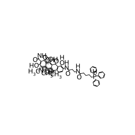 C[C@H]1c2ccc(NC(=O)CCNC(=O)CCCC[PH](c3ccccc3)(c3ccccc3)c3ccccc3)c(O)c2C(=O)C2=C(O)[C@]3(O)C(=O)C(C(N)=O)=C(O)[C@@H](N(C)C)[C@@H]3[C@@H](O)[C@@H]21